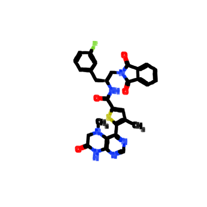 Cc1cc(C(=O)N[C@@H](Cc2cccc(F)c2)CN2C(=O)c3ccccc3C2=O)sc1-c1ncnc2c1N(C)CC(=O)N2